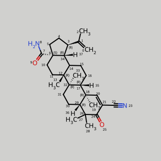 C=C(C)[C@@H]1CC[C@]2(C(N)=O)CC[C@]3(C)C(CC[C@@H]4[C@@]5(C)C=C(C#N)C(=O)C(C)(C)[C@@H]5CC[C@]43C)[C@@H]12